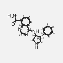 NC(=O)c1cccc2c(NC3CNC[C@@H]3c3ccccc3)ncnc12